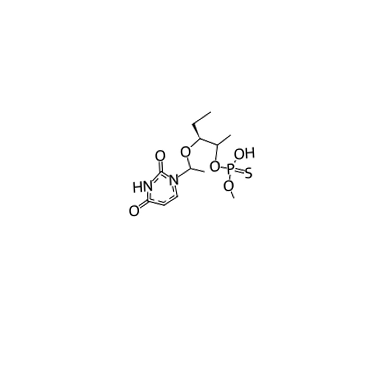 CC[C@H](OC(C)n1ccc(=O)[nH]c1=O)C(C)OP(O)(=S)OC